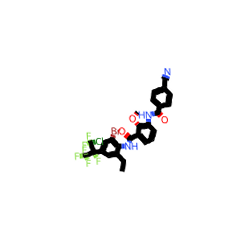 CCc1cc(C(F)(C(F)(F)F)C(F)(F)Cl)cc(Br)c1NC(=O)c1cccc(NC(=O)c2ccc(C#N)cc2)c1OC